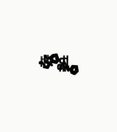 CN1CC[C@@]2(C)c3cc(OC(=O)NNc4ccccc4)ccc3N(C)[C@H]12